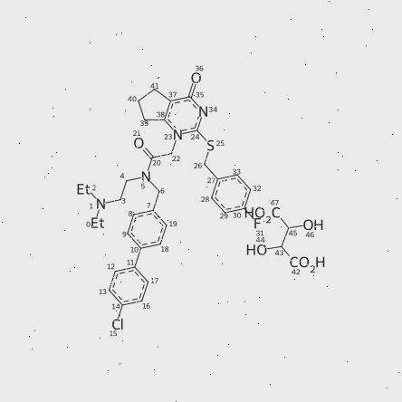 CCN(CC)CCN(Cc1ccc(-c2ccc(Cl)cc2)cc1)C(=O)Cn1c(SCc2ccc(F)cc2)nc(=O)c2c1CCC2.O=C(O)C(O)C(O)C(=O)O